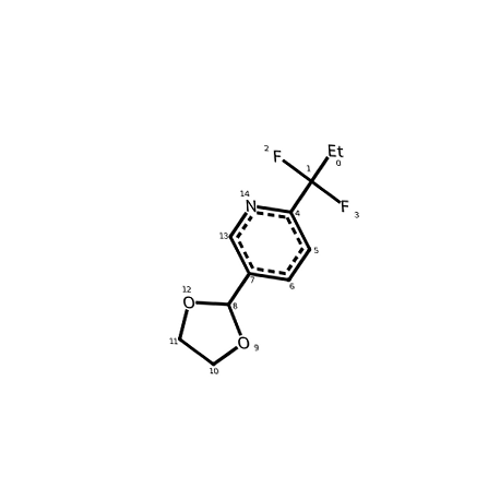 CCC(F)(F)c1ccc(C2OCCO2)cn1